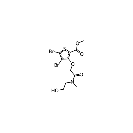 COC(=O)c1sc(Br)c(Br)c1OCC(=O)N(C)CCO